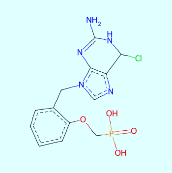 NC1=Nc2c(ncn2Cc2ccccc2OCP(=O)(O)O)C(Cl)N1